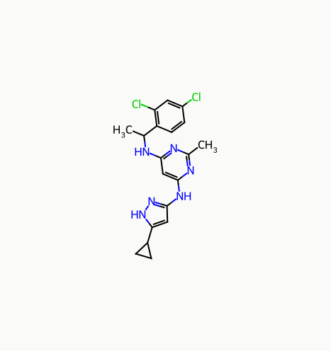 Cc1nc(Nc2cc(C3CC3)[nH]n2)cc(NC(C)c2ccc(Cl)cc2Cl)n1